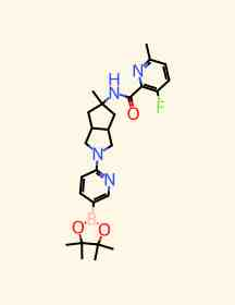 Cc1ccc(F)c(C(=O)NC2(C)CC3CN(c4ccc(B5OC(C)(C)C(C)(C)O5)cn4)CC3C2)n1